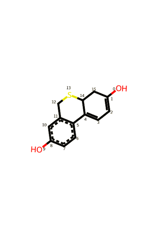 OC1=CC=C2c3ccc(O)cc3CSC2C1